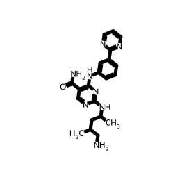 CC(CN)CC(C)Nc1ncc(C(N)=O)c(Nc2cccc(-c3ncccn3)c2)n1